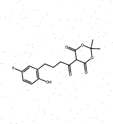 CC1(C)OC(=O)C(C(=O)CCCc2cc(F)ccc2O)C(=O)O1